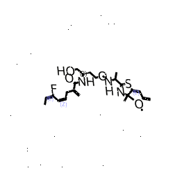 C=C(/C=C1/SC(C(C)NOCC[C@H](CO)NC(=O)C(=C)C/C=C\C(F)=C/C)=NC1(C)C)OC